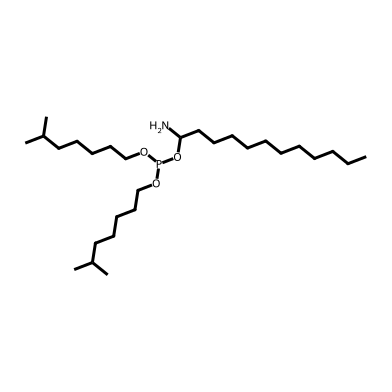 CCCCCCCCCCCC(N)OP(OCCCCCC(C)C)OCCCCCC(C)C